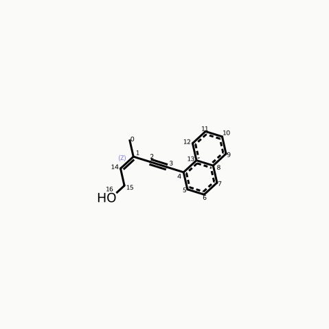 C/C(C#Cc1cccc2ccccc12)=C/CO